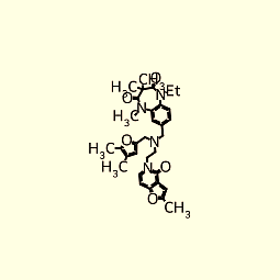 CCN1C(=O)C(C)(C)C(=O)N(C)c2cc(CN(CCn3ccc4oc(C)cc4c3=O)Cc3cc(C)c(C)o3)ccc21